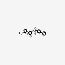 O=C(NCc1cc(-c2ccnc(C(F)(F)F)c2)[nH]c(=O)c1)c1ccc(-c2cnccn2)cn1